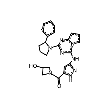 O=C(c1cc(Nc2nc(N3CCCC3c3ccccn3)nc3cccn23)n[nH]1)N1CC(O)C1